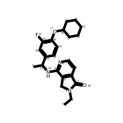 CCN1Cc2c(ccnc2NC(C)c2ccc(OC3CCCCC3)c(F)c2)C1=O